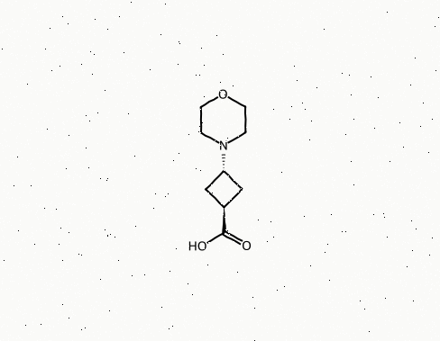 O=C(O)[C@H]1C[C@H](N2CCOCC2)C1